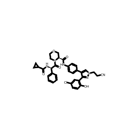 N#CCCn1cc(-c2ccc(NC(=O)[C@@H]3COCCN3C(=O)[C@H](NC(=O)C3CC3)c3ccccc3)cc2)c(-c2cc(Cl)ccc2O)n1